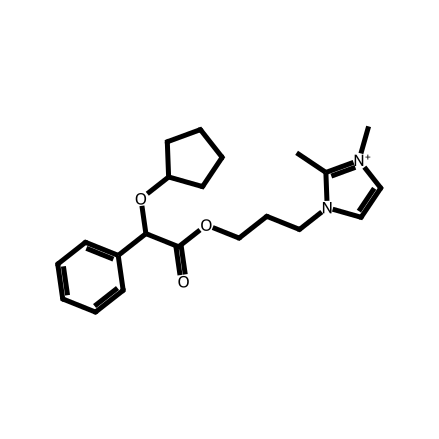 Cc1n(CCCOC(=O)C(OC2CCCC2)c2ccccc2)cc[n+]1C